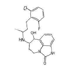 CC(CCc1c(F)cccc1Cl)NC1CCn2c(=O)[nH]c3cccc(c32)C1O